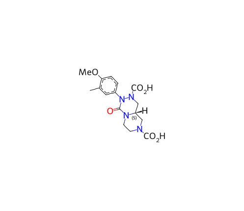 COc1ccc(N2C(=O)N3CCN(C(=O)O)C[C@H]3CN2C(=O)O)cc1C